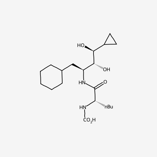 CCCC[C@H](NC(=O)O)C(=O)N[C@@H](CC1CCCCC1)[C@@H](O)[C@@H](O)C1CC1